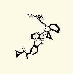 CCCNCCOc1ccccc1C1(Nc2nccn(-c3cc(C(=O)NC4CC4)ccc3C)c2=O)CC1